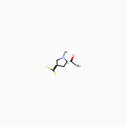 CC(C)N1CC(=C(F)F)C[C@H]1C(=O)C(C)(C)C